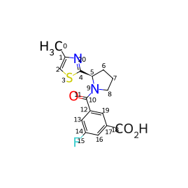 Cc1csc([C@H]2CCCN2C(=O)c2cc(F)cc(C(=O)O)c2)n1